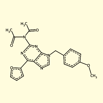 COc1ccc(Cn2cnc3c(-c4ccco4)nc(N(C(C)=O)C(C)=O)nc32)cc1